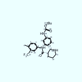 Cc1ccc(NC(=O)[C@H]2CCCN[C@H]2c2ccc(NC(=O)OC(C)(C)C)cc2)cc1C(F)(F)F